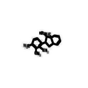 CCCC1C(c2ccc(C)c(C)c2C)[C]C2C=CC=CC21C